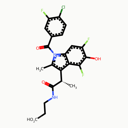 Cc1c([C@H](C)C(=O)NCCC(=O)O)c2c(F)c(O)c(F)cc2n1C(=O)c1ccc(Cl)c(F)c1